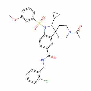 COc1cccc(S(=O)(=O)N2c3ccc(C(=O)NCc4ccccc4Cl)cc3C3(CCN(C(C)=O)CC3)C2C2CC2)c1